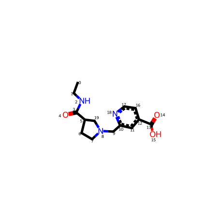 CCNC(=O)C1CCN(Cc2cc(C(=O)O)ccn2)C1